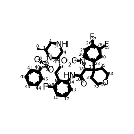 C[C@H]1CNC[C@H](CCc2c(F)cccc2NC(=O)[C@@H](N(C)C(=O)O)C2(c3ccc(F)c(F)c3)CCOCC2)N1S(=O)(=O)c1ccccc1